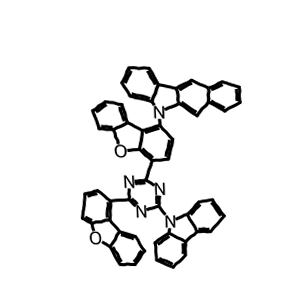 c1ccc2cc3c(cc2c1)c1ccccc1n3-c1ccc(-c2nc(-c3cccc4oc5ccccc5c34)nc(-n3c4ccccc4c4ccccc43)n2)c2oc3ccccc3c12